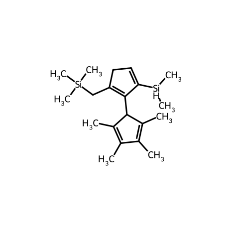 CC1=C(C)C(C2=C(C[Si](C)(C)C)CC=C2[SiH](C)C)C(C)=C1C